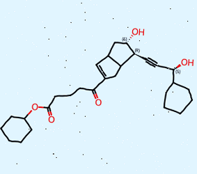 O=C(CCCC(=O)C1=CC2C[C@H](O)[C@@H](C#C[C@@H](O)C3CCCCC3)C2C1)OC1CCCCC1